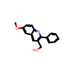 COc1ccc2nc(-c3ccccc3)c(CO)cc2c1